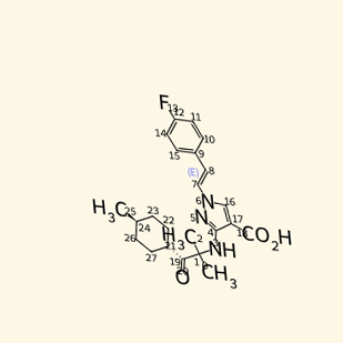 CC(C)(Nc1nn(/C=C/c2ccc(F)cc2)cc1C(=O)O)C(=O)[C@H]1CC[C@H](C)CC1